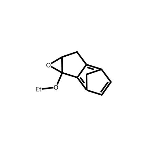 CCOC12OC1CC1=C3C=CC(=C12)C3